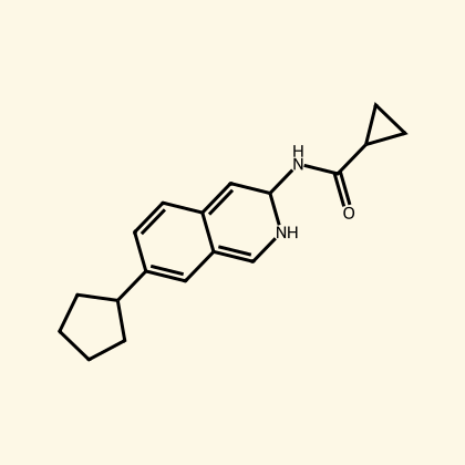 O=C(NC1C=c2ccc(C3CCCC3)cc2=CN1)C1CC1